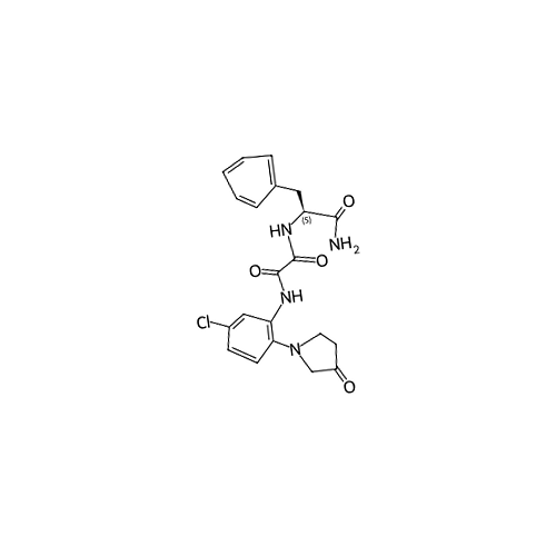 NC(=O)[C@H](Cc1ccccc1)NC(=O)C(=O)Nc1cc(Cl)ccc1N1CCC(=O)C1